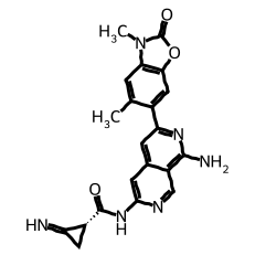 Cc1cc2c(cc1-c1cc3cc(NC(=O)[C@@H]4CC4=N)ncc3c(N)n1)oc(=O)n2C